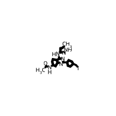 CC(=O)Nc1ccc2c(Nc3cc(C)[nH]n3)nc(-c3ccc(CI)cc3)nc2c1